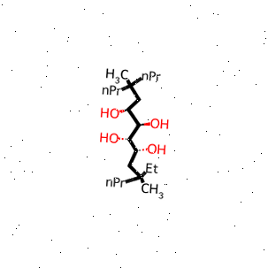 CCCC(C)(CC)C[C@@H](O)[C@H](O)[C@H](O)[C@@H](O)CC(C)(CCC)CCC